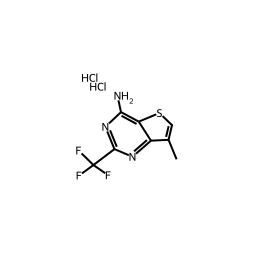 Cc1csc2c(N)nc(C(F)(F)F)nc12.Cl.Cl